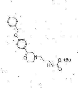 CC(C)(C)OC(=O)NCCCN1CCOC(c2ccc(OCc3ccccc3)cc2)C1